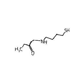 CCC(=O)CNCCCCS